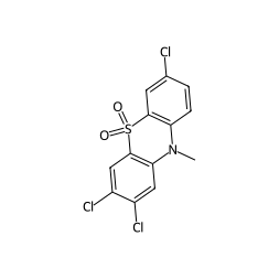 CN1c2ccc(Cl)cc2S(=O)(=O)c2cc(Cl)c(Cl)cc21